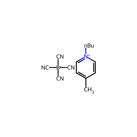 CCCC[n+]1ccc(C)cc1.N#C[B-](C#N)(C#N)C#N